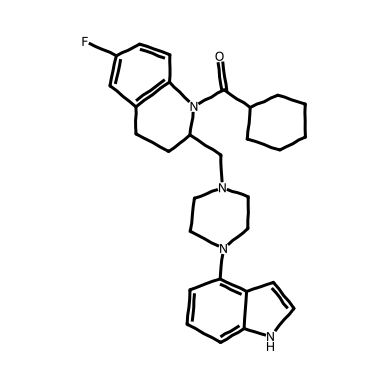 O=C(C1CCCCC1)N1c2ccc(F)cc2CCC1CN1CCN(c2cccc3[nH]ccc23)CC1